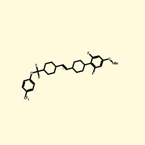 CCCCOc1cc(F)c(C2CCC(/C=C/C3CCC(C(F)(F)Oc4ccc(C(F)(F)F)cc4)CC3)CC2)c(F)c1